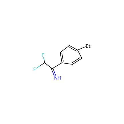 CCc1ccc(C(=N)C(F)F)cc1